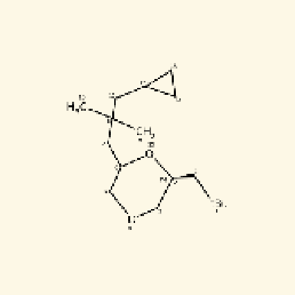 CC(C)(C)C[C@H]1COCC(CC(C)(C)CC2CC2)O1